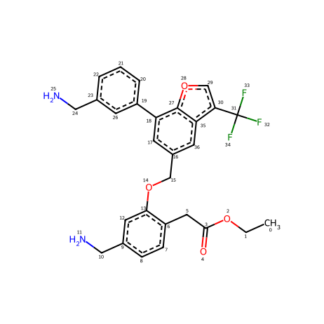 CCOC(=O)Cc1ccc(CN)cc1OCc1cc(-c2cccc(CN)c2)c2occ(C(F)(F)F)c2c1